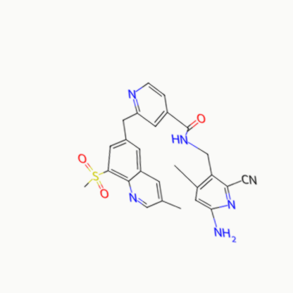 Cc1cnc2c(S(C)(=O)=O)cc(Cc3cc(C(=O)NCc4c(C)cc(N)nc4C#N)ccn3)cc2c1